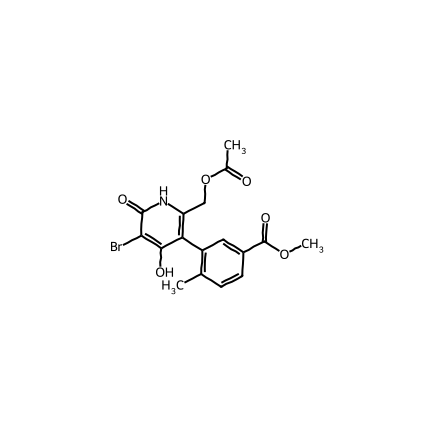 COC(=O)c1ccc(C)c(-c2c(COC(C)=O)[nH]c(=O)c(Br)c2O)c1